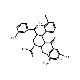 Cc1c(F)cccc1C1C(C(=O)c2cccc(O)c2)CN(C(=O)O)C(CCN(C)C)C1C(=O)c1cccc(O)c1